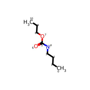 CCCC[N]C(=O)OCCC